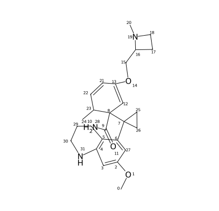 COc1cc2c(c(C3(C4(C(N)=O)C=C(OCC5CCN5C)C=CC4C)CC3)c1)CCCN2